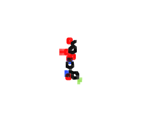 CC(=O)c1ccc(OON2CCC(c3noc4cc(F)ccc34)CC2)c(O)c1